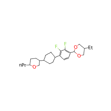 CCCC1CCC(C2CCC(c3ccc(C4OCC(CC)CO4)c(F)c3F)CC2)CO1